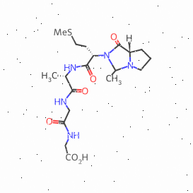 CSCC[C@@H](C(=O)N[C@@H](C)C(=O)NCC(=O)NCC(=O)O)N1C(=O)[C@@H]2CCCN2C1C